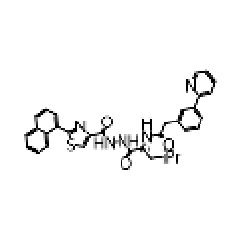 CC(C)C[C@H](NC(=O)Cc1cccc(-c2ccccn2)c1)C(=O)NNC(=O)c1csc(-c2cccc3ccccc23)n1